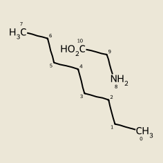 CCCCCCCC.NCC(=O)O